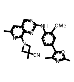 COc1cc(-c2oc(C)nc2C)ccc1Nc1ncc2cc(C)nc(N3CC(C)(C#N)C3)c2n1